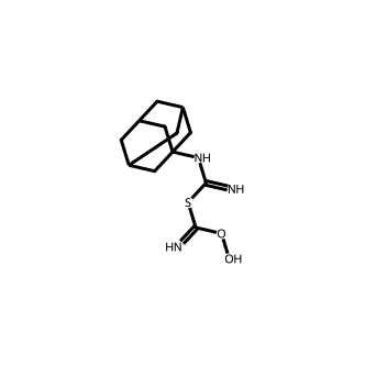 N=C(NC12CC3CC(CC(C3)C1)C2)SC(=N)OO